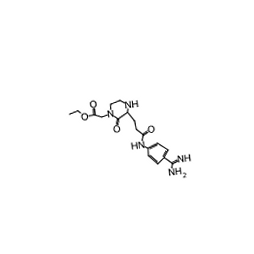 CCOC(=O)CN1CCNC(CCC(=O)Nc2ccc(C(=N)N)cc2)C1=O